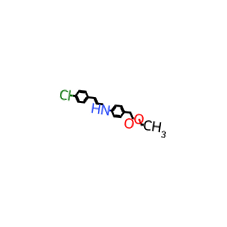 CCOC(=O)Cc1ccc(NC/C=C/c2ccc(Cl)cc2)cc1